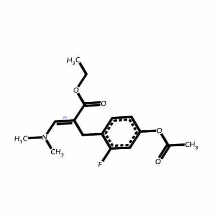 CCOC(=O)/C(=C/N(C)C)Cc1ccc(OC(C)=O)cc1F